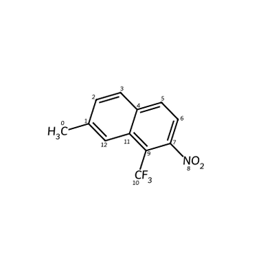 Cc1ccc2ccc([N+](=O)[O-])c(C(F)(F)F)c2c1